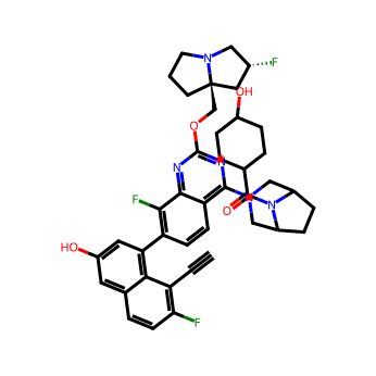 C#Cc1c(F)ccc2cc(O)cc(-c3ccc4c(N5CC6CCC(C5)N6C(=O)C5CCC(O)CC5)nc(OC[C@@]56CCCN5C[C@H](F)C6)nc4c3F)c12